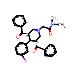 CN(C)C(=O)CN1C[C@H](C(=O)c2ccccc2)C(c2cccc(I)c2)[C@@H](C(=O)c2ccccc2)C1